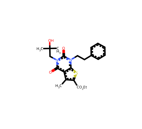 CCOC(=O)c1sc2c(c1C)c(=O)n(CC(C)(C)O)c(=O)n2CCc1ccccc1